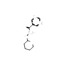 O=C(NOC1CCCCO1)c1cncnc1